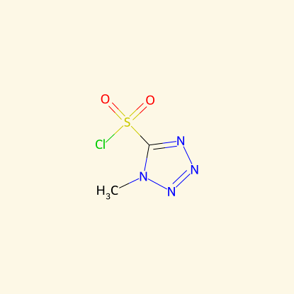 Cn1nnnc1S(=O)(=O)Cl